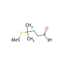 CSSC(C)(C)CCC(=O)C(C)C